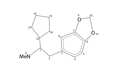 CNC(Cc1ccc2c(c1)OCO2)C1CCCC1